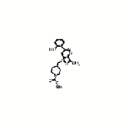 CC(C)(C)OC(=O)N1CCC(Cn2nc(N)c3nnc(-c4ccccc4O)cc32)CC1